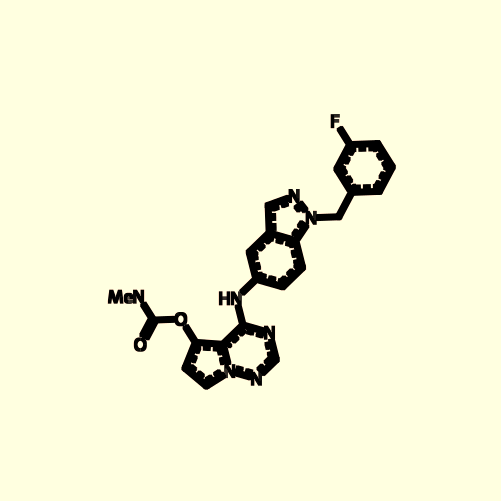 CNC(=O)Oc1ccn2ncnc(Nc3ccc4c(cnn4Cc4cccc(F)c4)c3)c12